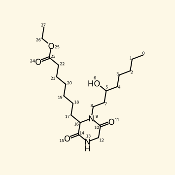 CCCCCC(O)CCN1C(=O)CNC(=O)C1CCCCCCC(=O)OCC